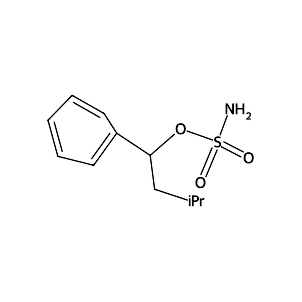 CC(C)CC(OS(N)(=O)=O)c1ccccc1